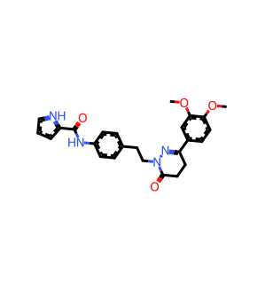 COc1ccc(C2=NN(CCc3ccc(NC(=O)c4ccc[nH]4)cc3)C(=O)CC2)cc1OC